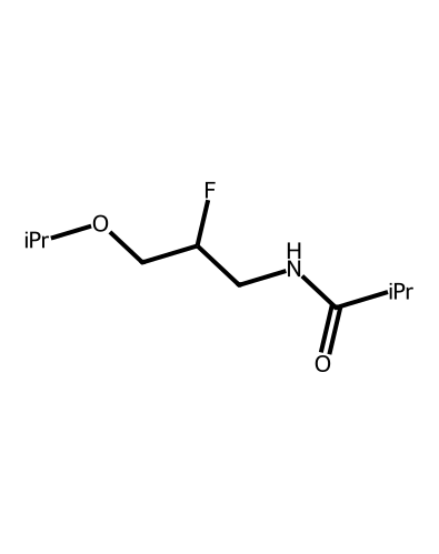 CC(C)OCC(F)CNC(=O)C(C)C